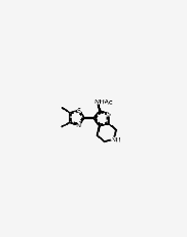 CC(=O)Nc1sc2c(c1-c1nc(C)c(C)s1)CCNC2